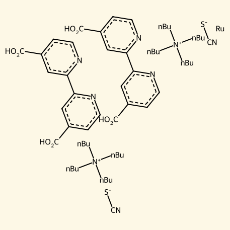 CCCC[N+](CCCC)(CCCC)CCCC.CCCC[N+](CCCC)(CCCC)CCCC.N#C[S-].N#C[S-].O=C(O)c1ccnc(-c2cc(C(=O)O)ccn2)c1.O=C(O)c1ccnc(-c2cc(C(=O)O)ccn2)c1.[Ru]